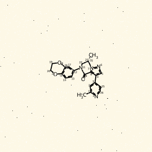 Cc1cc(-c2cnn3c2C(=O)N(c2ccc4c(c2)OCCO4)C[C@@H]3C)ccn1